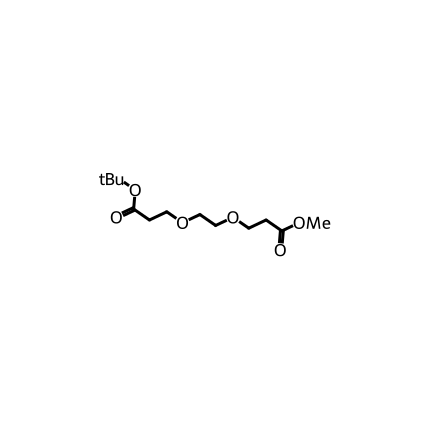 COC(=O)CCOCCOCCC(=O)OC(C)(C)C